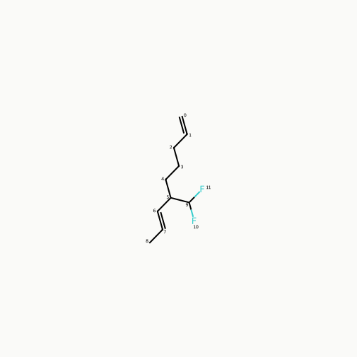 C=CCCCC(C=CC)C(F)F